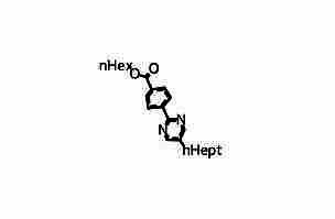 CCCCCCCc1cnc(-c2ccc(C(=O)OCCCCCC)cc2)nc1